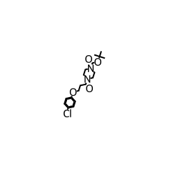 CC(C)(C)OC(=O)N1CCN(C(=O)CCOc2ccc(Cl)cc2)CC1